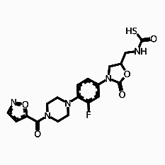 O=C(S)NCC1CN(c2ccc(N3CCN(C(=O)c4ccno4)CC3)c(F)c2)C(=O)O1